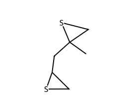 CC1(CC2CS2)CS1